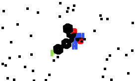 O=c1[nH]c(C2CC=C(c3ccc(F)cc3)CC2)c(Cc2ccccc2)c(=O)[nH]1